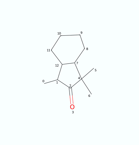 CC1C(=O)C(C)(C)C2CCCCC12